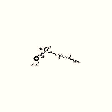 CCCCCCCCCCCCC(=O)OCCOC(=O)CCCSCC[C@H]1C(=O)C[C@@H](O)[C@@H]1/C=C/[C@@H](O)Cc1cccc(COC)c1